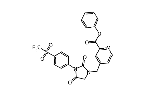 O=C(Oc1ccccc1)c1cc(CN2CC(=O)N(c3ccc(S(=O)(=O)C(F)(F)F)cc3)C2=O)ccn1